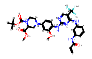 C=CC(=O)Nc1cccc(Nc2nc(Nc3ccc(N4CCN(C(=O)OC(C)(C)C)C(C(=O)OC)C4)cc3OC)ncc2C(F)(F)F)c1